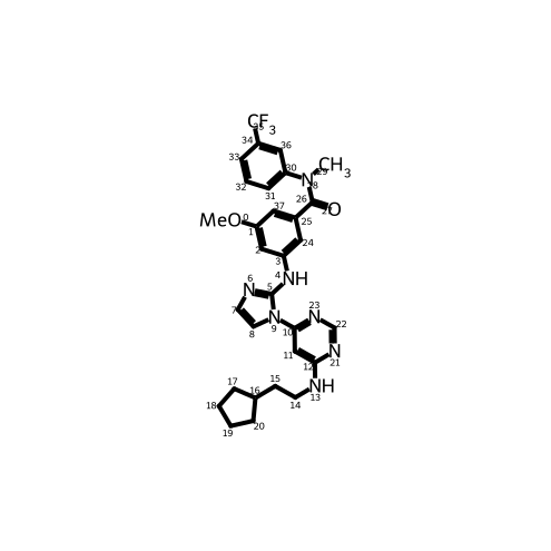 COc1cc(Nc2nccn2-c2cc(NCCC3CCCC3)ncn2)cc(C(=O)N(C)c2cccc(C(F)(F)F)c2)c1